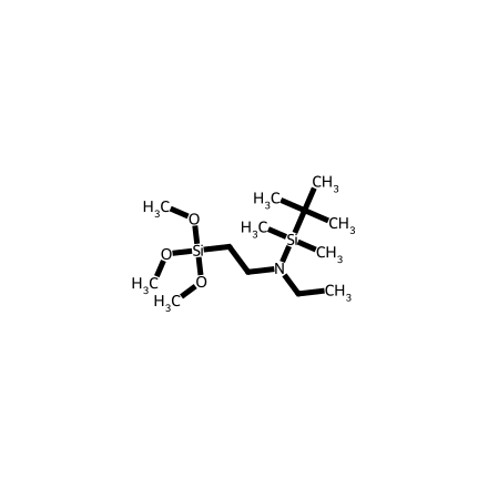 CCN(CC[Si](OC)(OC)OC)[Si](C)(C)C(C)(C)C